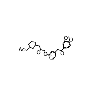 CC(=O)CC1CCCC(CC(=O)COc2cccc(CC(=O)c3ccc4c(c3)OCO4)c2)C1